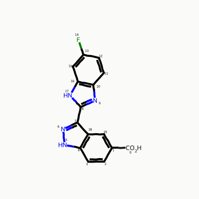 O=C(O)c1ccc2[nH]nc(-c3nc4ccc(F)cc4[nH]3)c2c1